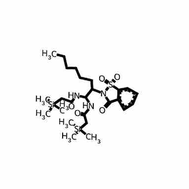 CCCCCCC(C(NC(=O)C[Si](C)(C)C)NC(=O)C[Si](C)(C)C)N1C(=O)c2ccccc2S1(=O)=O